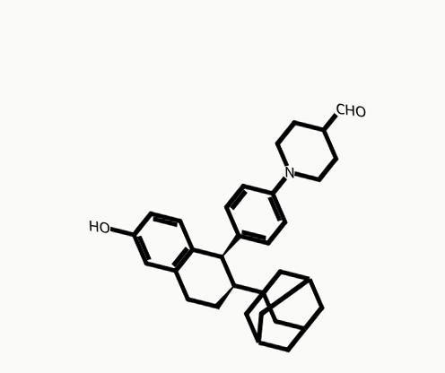 O=CC1CCN(c2ccc([C@@H]3c4ccc(O)cc4CC[C@@H]3C34CC5CC(CC(C5)C3)C4)cc2)CC1